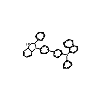 C1=CC2NC(c3ccccc3)N(c3ccc(-c4ccc(N(c5ccccc5)c5cccc6ccccc56)cc4)cc3)C2C=C1